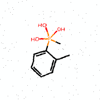 Cc1ccccc1P(C)(O)(O)O